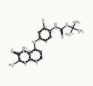 Cc1nc2nccc(Oc3ccc(NC(=O)OC(C)(C)C)c(F)c3)c2[nH]c1=O